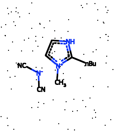 CCCCc1[nH]cc[n+]1C.N#C[N-]C#N